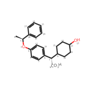 C[C@H](Oc1ccc([C@@H](C(=O)O)C2CCC(O)CC2)cc1)c1ccccc1